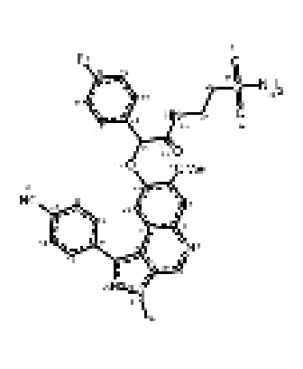 COc1cc2ncc3c(c(-c4ccc(C#N)cc4)nn3C)c2cc1OC(C(=O)NCCS(N)(=O)=O)c1ccc(F)cc1